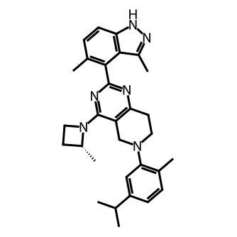 Cc1ccc(C(C)C)cc1N1CCc2nc(-c3c(C)ccc4[nH]nc(C)c34)nc(N3CC[C@H]3C)c2C1